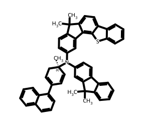 CC1(C)c2ccccc2-c2ccc(N(c3ccc4c(c3)-c3c(ccc5c3sc3ccccc35)C4(C)C)[C@@]3(C)C=CC(c4cccc5ccccc45)=CC3)cc21